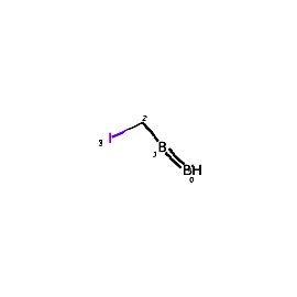 B=BCI